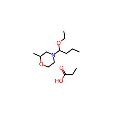 CCC(=O)O.CCCC(OCC)N1CCOC(C)C1